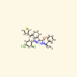 C[C@@H](NC(=O)c1nn(-c2ccc(Cl)cc2Cl)c2c1CCC/C2=C\c1ccsc1)c1ccccc1